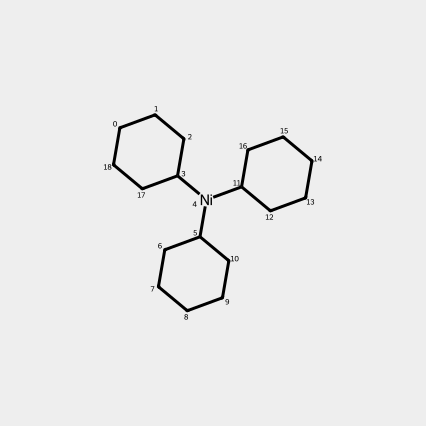 C1CC[CH]([Ni]([CH]2CCCCC2)[CH]2CCCCC2)CC1